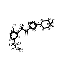 CCNS(=O)(=O)c1ccc(F)c(C(=O)Nc2nnc(C3CCC(F)(F)CC3)s2)c1